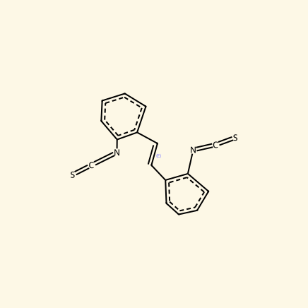 S=C=Nc1ccccc1/C=C/c1ccccc1N=C=S